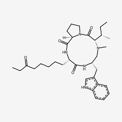 CCC(=O)CCCCC[C@@H]1NC(=O)[C@H]2CCCN2C(=O)[C@H]([C@@H](C)CC)N(C)C[C@H](Cc2c[nH]c3ccccc23)NC1=O